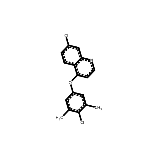 Cc1cc(Oc2ccnc3cc(Cl)ccc23)cc(C)c1Cl